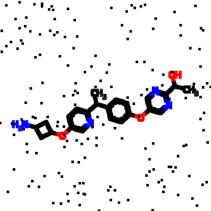 CC(O)c1ncc(Oc2ccc(C(C)c3ccc(OC4CC(N)C4)cn3)cc2)cn1